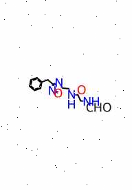 O=CNCC(=O)NCc1nc(Cc2ccccc2)no1